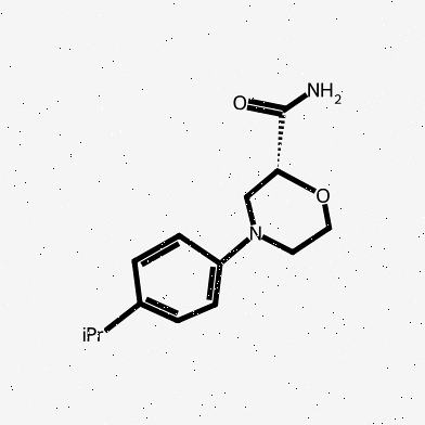 CC(C)c1ccc(N2CCO[C@@H](C(N)=O)C2)cc1